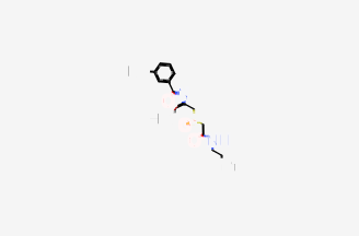 Cc1cccc(-c2nc(C[S+]([O-])CC(=O)NCCC(C)C)c(C)o2)c1